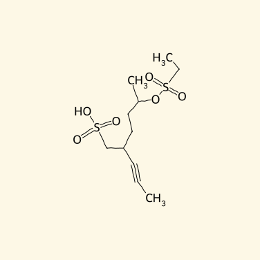 CC#CC(CCC(C)OS(=O)(=O)CC)CS(=O)(=O)O